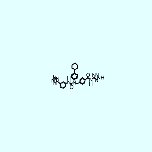 Cn1nnc(-c2cccc(NC(=O)N(Cc3ccc(C(=O)Nc4nn[nH]n4)cc3)c3ccc(C4CCCCC4)cc3)c2)n1